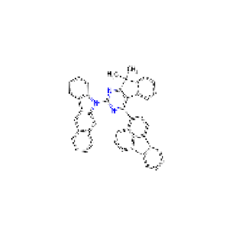 CC1(C)c2ccccc2-c2c(-c3ccc4c5c(cccc35)-c3ccccc3-4)nc(-n3c4ccccc4c4cc5ccccc5cc43)nc21